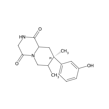 CC1CN2C(=O)CNC(=O)C2C[C@@]1(C)c1cccc(O)c1